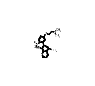 Cc1cc2c(c3ncccc13)NS(=O)(=O)c1ccc(OCCN(C)C)cc1-2